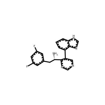 N[C@@H](Cc1cc(F)cc(F)c1)c1ncncc1-c1cccc2[nH]cnc12